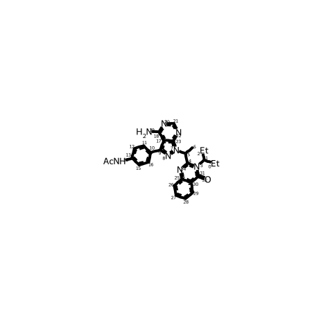 CCC(CC)n1c(C(C)n2nc(-c3ccc(NC(C)=O)cc3)c3c(N)ncnc32)nc2ccccc2c1=O